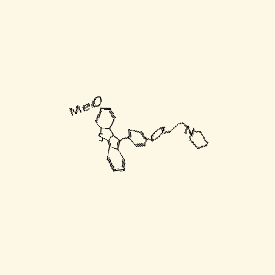 COC1=CC2SC3=c4ccccc4=C(c4ccc(OCCN5CCCC5)cc4)C3C2C=C1